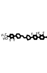 CC(O)c1ccc(C2=CCC(CCC3CCC(c4ccc(-c5ccc(C6CO6)c(F)c5F)c(F)c4F)CC3)CC2)c(F)c1F